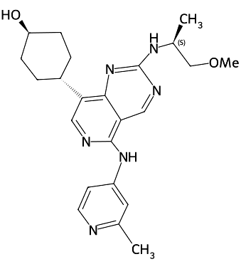 COC[C@H](C)Nc1ncc2c(Nc3ccnc(C)c3)ncc([C@H]3CC[C@H](O)CC3)c2n1